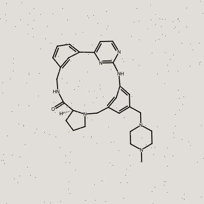 CN1CCN(Cc2cc3cc(c2)Nc2nccc(n2)-c2cccc(c2)CNC(=O)[C@@H]2CCCN2C3)CC1